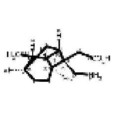 C[C@H]1[C@@H]2CC[C@H]3[C@H]1[C@H](C2)[C@]3(CN)CC(=O)O